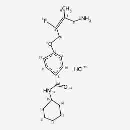 C/C(CN)=C(\F)COc1ccc(C(=O)NC2CCCCC2)cc1.Cl